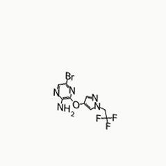 Nc1ncc(Br)nc1Oc1cnn(CC(F)(F)F)c1